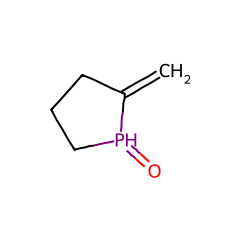 C=C1CCC[PH]1=O